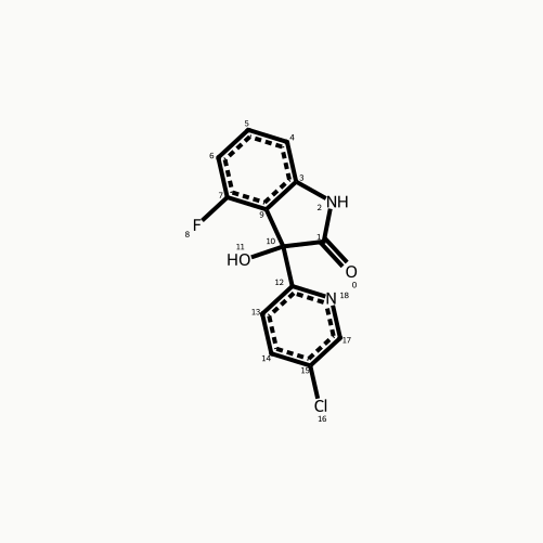 O=C1Nc2cccc(F)c2C1(O)c1ccc(Cl)cn1